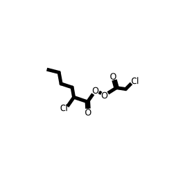 CCCCC(Cl)C(=O)OOC(=O)CCl